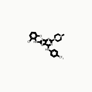 CN1CCN(c2nc(Nc3ccc(C(F)(F)F)cc3)c3nc(Nc4c(Cl)cccc4Cl)sc3n2)CC1